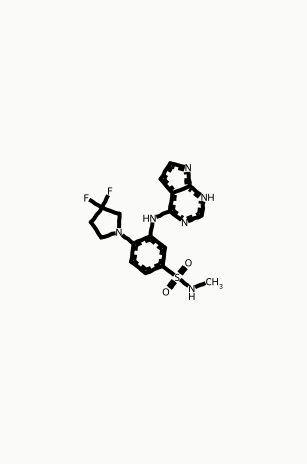 CNS(=O)(=O)c1ccc(N2CCC(F)(F)C2)c(Nc2nc[nH]c3nccc2-3)c1